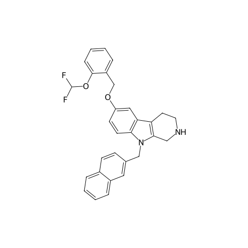 FC(F)Oc1ccccc1COc1ccc2c(c1)c1c(n2Cc2ccc3ccccc3c2)CNCC1